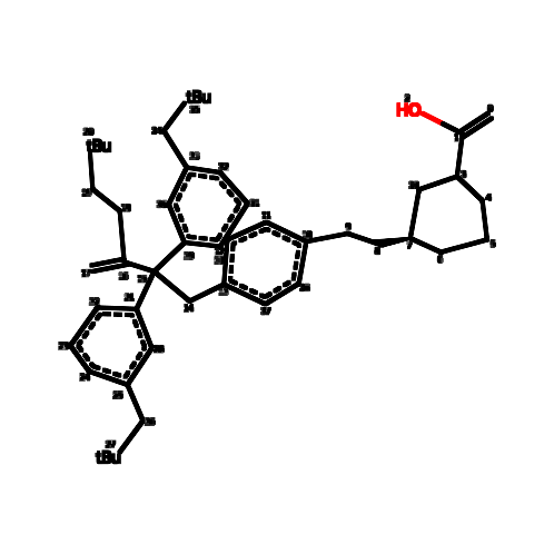 C=C(O)C1CCC[C@@H](CCc2ccc(CC(C(=C)CCC(C)(C)C)(c3cccc(CC(C)(C)C)c3)c3cccc(CC(C)(C)C)c3)cc2)C1